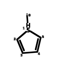 [CH2][SH]1C=CC=C1